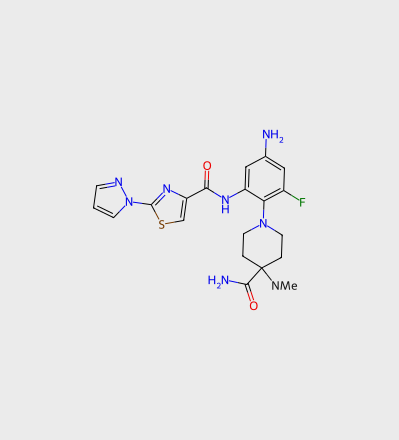 CNC1(C(N)=O)CCN(c2c(F)cc(N)cc2NC(=O)c2csc(-n3cccn3)n2)CC1